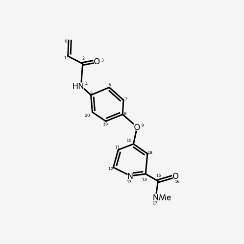 C=CC(=O)Nc1ccc(Oc2ccnc(C(=O)NC)c2)cc1